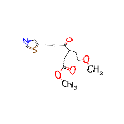 COCCC(CC(=O)OC)C(=O)C#Cc1cncs1